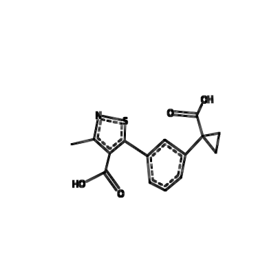 Cc1nsc(-c2cccc(C3(C(=O)O)CC3)c2)c1C(=O)O